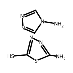 Nc1nnc(S)s1.Nn1cnnc1